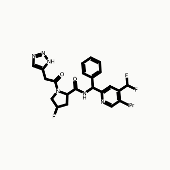 CC(C)c1cnc(C(NC(=O)C2CC(F)CN2C(=O)Cc2cnn[nH]2)c2ccccc2)cc1C(F)F